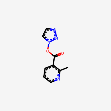 Cc1ncccc1C(=O)On1ccnn1